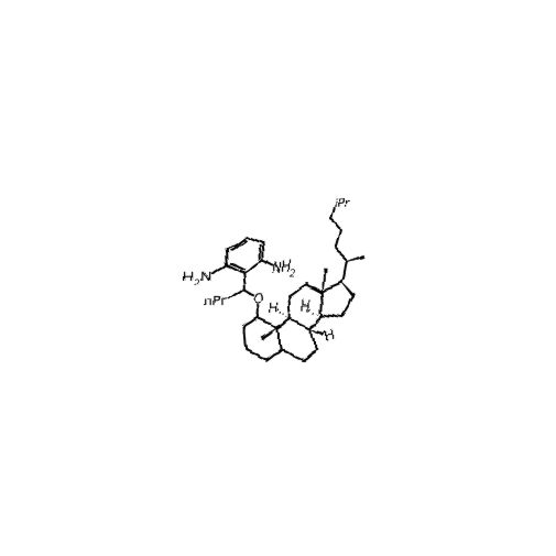 CCCC(OC1CCCC2CC[C@@H]3[C@H](CC[C@]4(C)[C@@H]([C@H](C)CCCC(C)C)CC[C@@H]34)[C@]21C)c1c(N)cccc1N